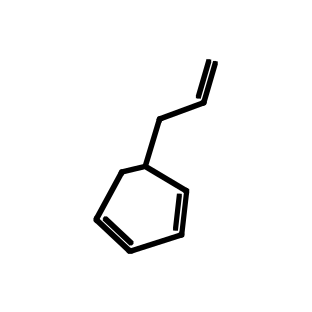 C=CCC1C=CC=CC1